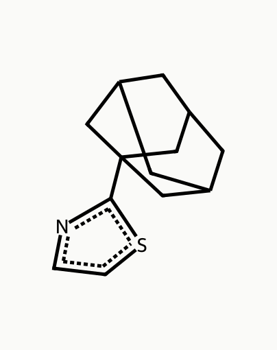 c1csc(C23CC4CC(CC(C4)C2)C3)n1